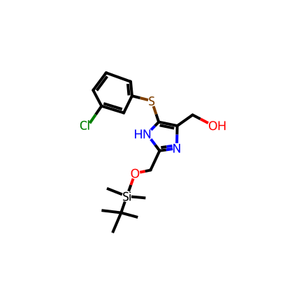 CC(C)(C)[Si](C)(C)OCc1nc(CO)c(Sc2cccc(Cl)c2)[nH]1